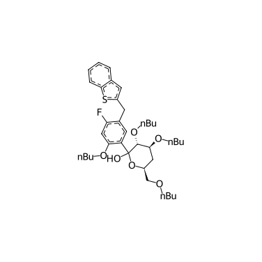 CCCCOC[C@@H]1C[C@H](OCCCC)[C@@H](OCCCC)C(O)(c2cc(Cc3cc4ccccc4s3)c(F)cc2OCCCC)O1